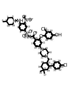 CC1CCN(Nc2ccc(S(=O)(=O)NC(=O)c3ccc(N4CCN(CC5=C(c6ccc(Cl)cc6)CC(C)(C)CC5)CC4)cc3Oc3ccc(O)cc3Cl)cc2[N+](=O)[O-])CC1